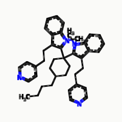 CCCCC1CCC(c2c(CCc3ccncc3)c3ccccc3n2C)(c2c(CCc3ccncc3)c3ccccc3n2C)CC1